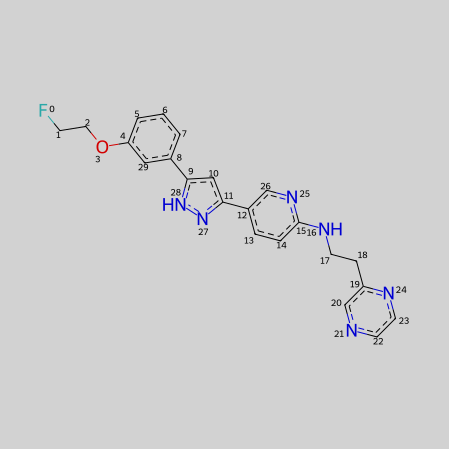 FCCOc1cccc(-c2cc(-c3ccc(NCCc4cnccn4)nc3)n[nH]2)c1